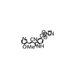 COc1ccncc1/C=C(\C#N)c1c[nH]c2ccc(OS(=O)(=O)n3ccnc3)cc12